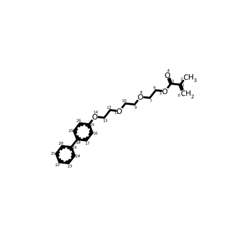 C=C(C)C(=O)OCCOCCOCCOc1ccc(-c2ccccc2)cc1